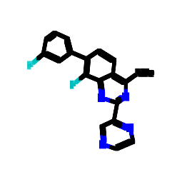 CNc1nc(-c2cnccn2)nc2c(F)c(-c3cccc(F)c3)ccc12